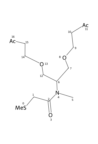 CSCC(=O)N(C)C(COCCC(C)=O)COCCC(C)=O